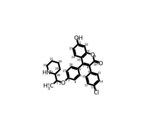 CC(Oc1ccc(-c2c(-c3ccc(Cl)cc3)c(=O)oc3cc(O)ccc23)cc1)C1CCCCN1